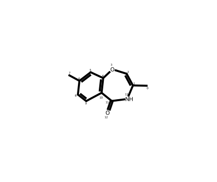 CC1=COc2cc(C)ccc2C(=O)N1